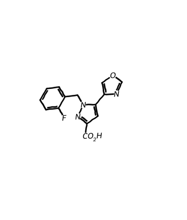 O=C(O)c1cc(-c2cocn2)n(Cc2ccccc2F)n1